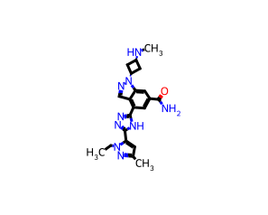 CCn1nc(C)cc1-c1nnc(-c2cc(C(N)=O)cc3c2cnn3[C@H]2C[C@H](NC)C2)[nH]1